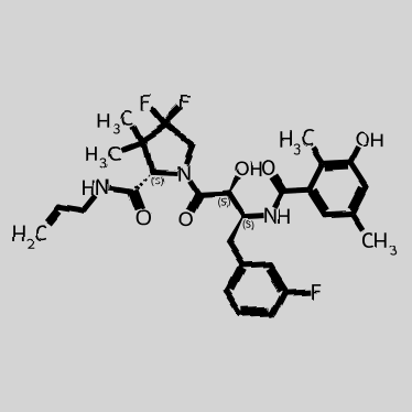 C=CCNC(=O)[C@H]1N(C(=O)[C@@H](O)[C@H](Cc2cccc(F)c2)NC(=O)c2cc(C)cc(O)c2C)CC(F)(F)C1(C)C